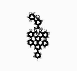 c1ccc(-c2cc(-c3ccccc3)c(-c3cccc(-c4ccccc4-c4nc(-c5ccccc5)nc(-c5ccc6oc7ccccc7c6c5)n4)c3)c(-c3ccccc3)c2)cc1